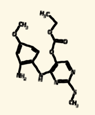 CCOC(=O)Oc1cnc(SC)nc1Nc1ccc(OC)cc1N